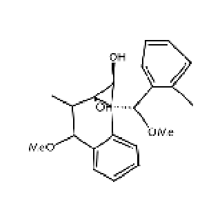 COC1c2ccccc2[C@]2(C(OC)c3ccccc3C)[C@H](O)[C@@]2(O)C1C